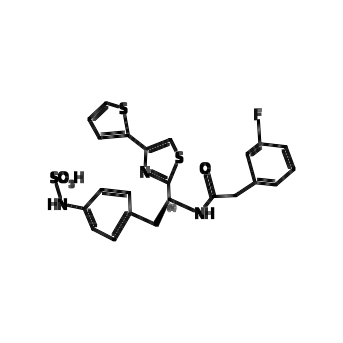 O=C(Cc1cccc(F)c1)N[C@@H](Cc1ccc(NS(=O)(=O)O)cc1)c1nc(-c2cccs2)cs1